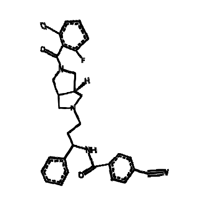 N#Cc1ccc(C(=O)NC(CCN2CC3CN(C(=O)c4c(F)cccc4Cl)C[C@@H]3C2)c2ccccc2)cc1